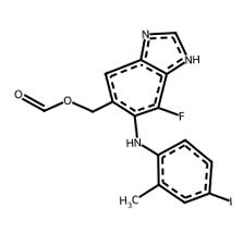 Cc1cc(I)ccc1Nc1c(COC=O)cc2nc[nH]c2c1F